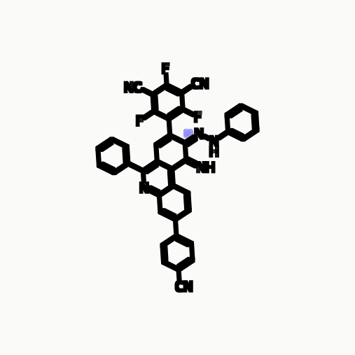 N#Cc1ccc(-c2ccc3c4c(c(-c5ccccc5)nc3c2)C=C(c2c(F)c(C#N)c(F)c(C#N)c2F)/C(=N/Nc2ccccc2)C4=N)cc1